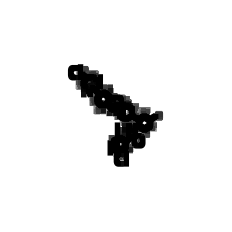 Cc1ccc(NC(=O)c2ccnc(Cl)c2)c(C2CC[N+]([O-])(Cc3ccc(-c4ncc(Cl)cn4)cc3)CC2)c1